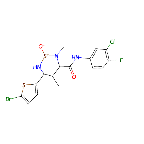 CC1C(c2ccc(Br)s2)N[S+]([O-])N(C)C1C(=O)Nc1ccc(F)c(Cl)c1